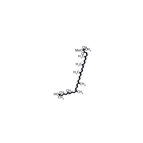 COC(C)(C)C(=O)\C=C/C(C)=C/C=C/C(C)=C/C=C/C(C)=C/C=C/C=C(C)/C=C/C=C(\C)CC/C=C(\C)CCCC(C)(C)O